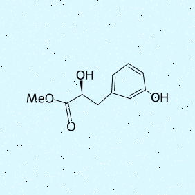 COC(=O)[C@@H](O)Cc1cccc(O)c1